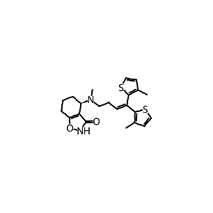 Cc1ccsc1C(=CCCN(C)[C@@H]1CCCc2o[nH]c(=O)c21)c1sccc1C